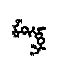 COc1cc2c(cc1C(=O)Nc1cccc(-c3nnnn3[C@H](C)CO)n1)CN(C(=O)[C@@H](O)CC(C)C)CC2